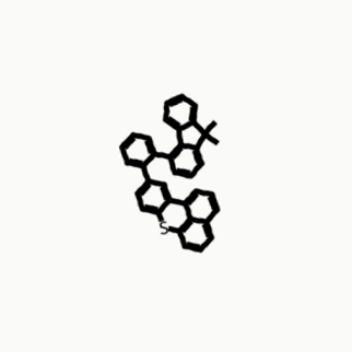 CC1(C)c2ccccc2-c2c(-c3ccccc3-c3ccc4c(c3)-c3cccc5cccc(c35)S4)cccc21